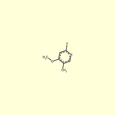 COc1cc(F)ncc1C